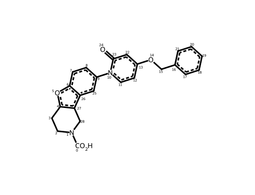 O=C(O)N1CCc2oc3ccc(-n4ccc(OCc5ccccc5)cc4=O)cc3c2C1